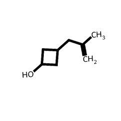 C=C(C)CC1CC(O)C1